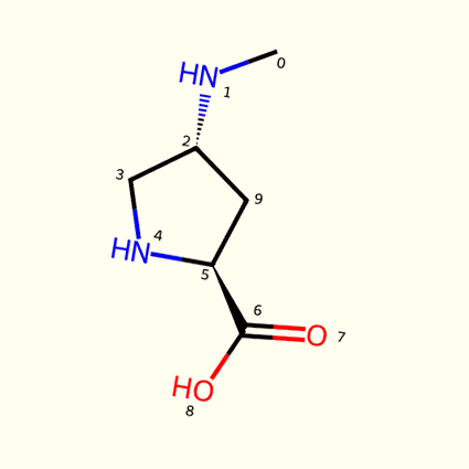 CN[C@H]1CN[C@H](C(=O)O)C1